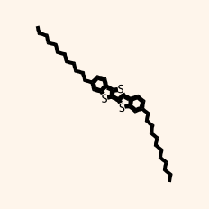 CCCCCCCCCCCCc1ccc2c(c1)sc1c2sc2c3ccc(CCCCCCCCCCCC)cc3sc21